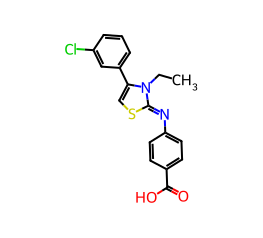 CCn1c(-c2cccc(Cl)c2)cs/c1=N\c1ccc(C(=O)O)cc1